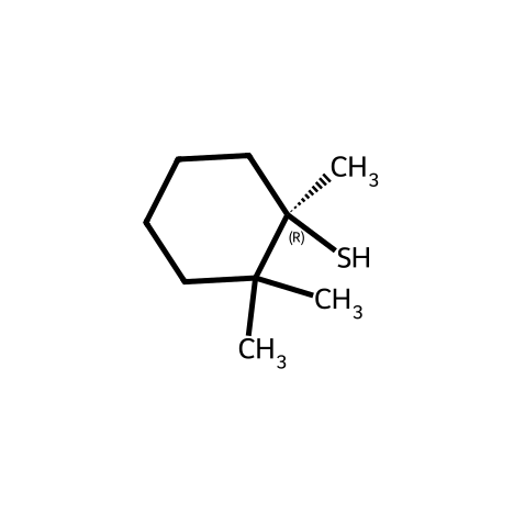 CC1(C)CCCC[C@@]1(C)S